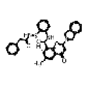 Cc1cc(C(C)Nc2ccccc2SNC(=O)Cc2ccccc2)c2oc(N3Cc4ccccc4C3)cc(=O)c2c1